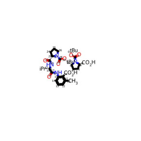 CC(C)(C)OC(=O)N1CCC[C@H]1C(=O)O.Cc1cccc(NC(=O)[C@@H](NC(=O)[C@@H]2CCCN2C(=O)OC(C)(C)C)C(C)C)c1C(=O)O